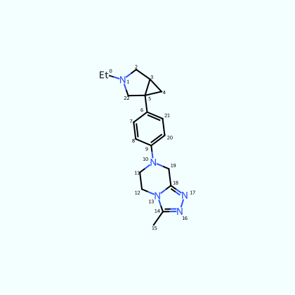 CCN1CC2CC2(c2ccc(N3CCn4c(C)nnc4C3)cc2)C1